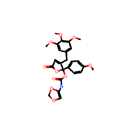 COc1ccc(C2(OC(=O)[N]C3=COCO3)OC(=O)C=C2Cc2cc(OC)c(OC)c(OC)c2)cc1